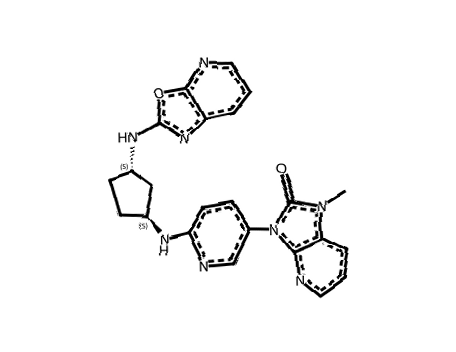 Cn1c(=O)n(-c2ccc(N[C@H]3CC[C@H](Nc4nc5cccnc5o4)C3)nc2)c2ncccc21